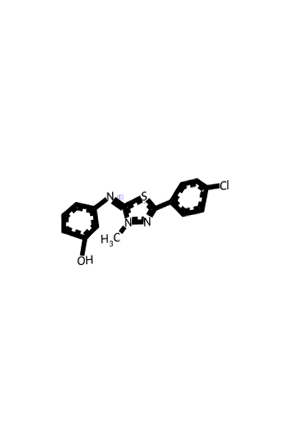 Cn1nc(-c2ccc(Cl)cc2)s/c1=N/c1cccc(O)c1